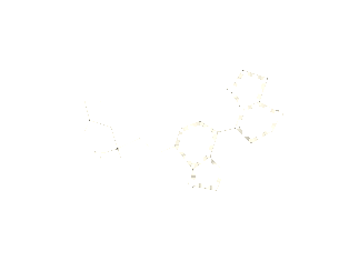 CC(C)CC(C)(N)COc1ccc(-c2ccnc3ccnn23)c2scnc12